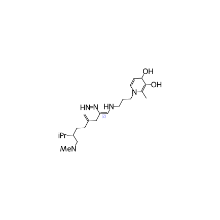 C=C(CCC(CNC)C(C)C)C/C(=C/NCCCN1C=CC(O)C(O)=C1C)N=N